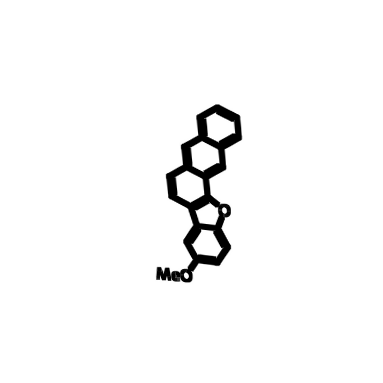 COc1ccc2oc3c4cc5ccccc5cc4ccc3c2c1